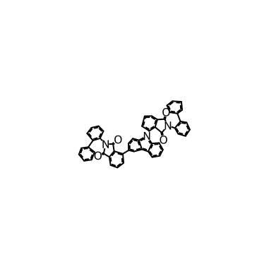 O=C1c2cccc(-c3ccc4c(c3)c3ccccc3n4-c3cccc4c3C(=O)N(c3ccccc3-c3ccccc3)C4=O)c2C(=O)N1c1ccccc1-c1ccccc1